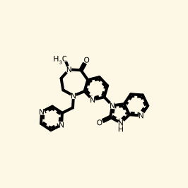 CN1CCN(Cc2cnccn2)c2nc(-n3c(=O)[nH]c4ncccc43)ccc2C1=O